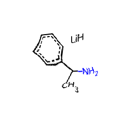 CC(N)c1ccccc1.[LiH]